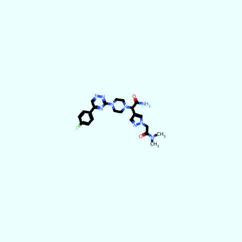 CN(C)C(=O)Cn1cc(C(C(N)=O)N2CCN(c3nncc(-c4ccc(F)cc4)n3)CC2)cn1